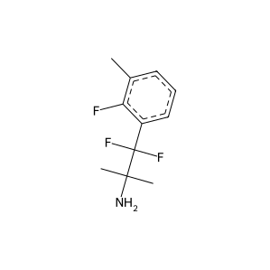 Cc1cccc(C(F)(F)C(C)(C)N)c1F